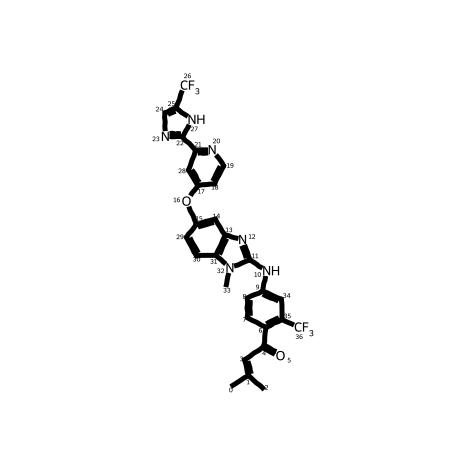 CC(C)=CC(=O)c1ccc(Nc2nc3cc(Oc4ccnc(-c5ncc(C(F)(F)F)[nH]5)c4)ccc3n2C)cc1C(F)(F)F